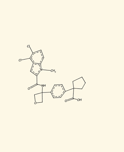 Cn1c(C(=O)NC2(c3ccc(C4(C(=O)O)CCCC4)cc3)COC2)cc2c(Cl)c(Cl)ccc21